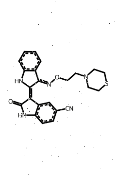 N#Cc1ccc2c(c1)/C(=C1/Nc3ccccc3/C1=N\OCCN1CCSCC1)C(=O)N2